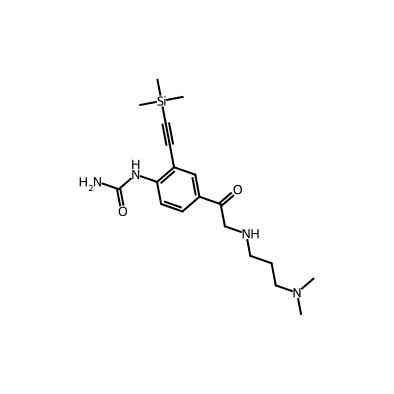 CN(C)CCCNCC(=O)c1ccc(NC(N)=O)c(C#C[Si](C)(C)C)c1